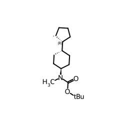 CN(C(=O)OC(C)(C)C)[C@H]1CC[C@H]([C@@H]2[CH]CCC2)CC1